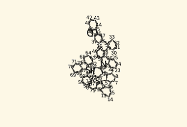 c1ccc([Si](c2ccccc2)(c2ccccc2)c2cc(-n3c4ccccc4c4c(-c5ccccc5-c5ccc6oc7ccccc7c6c5)cccc43)cc([Si](c3ccccc3)(c3ccccc3)c3ccccc3)c2)cc1